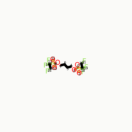 O=S(=O)(OCCCCOS(=O)(=O)C(F)(F)CF)C(F)(F)CF